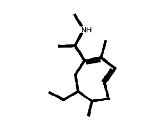 CCC1C/C(C(C)NC)=C(C)\C=C\CC1C